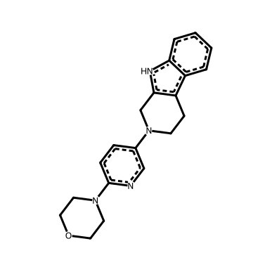 c1ccc2c3c([nH]c2c1)CN(c1ccc(N2CCOCC2)nc1)CC3